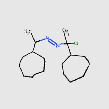 CC(N=NC(C)(Cl)C1CCCCCC1)C1CCCCCC1